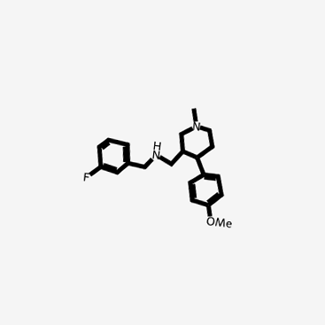 COc1ccc(C2CCN(C)CC2CNCc2cccc(F)c2)cc1